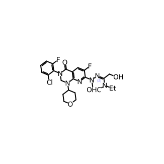 CCN(C=O)/C(CO)=N\N(C)c1nc2c(cc1F)C(=O)N(c1c(F)cccc1Cl)CN2C1CCOCC1